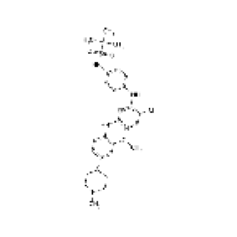 COc1cc(N2CCN(C)CC2)ccc1Nc1ncc(Cl)c(Nc2ccc(NS(=O)(=O)C(C)(C)C)cc2)n1